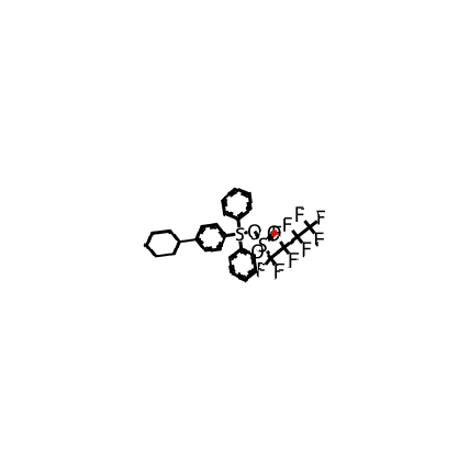 O=S(=O)(OS(c1ccccc1)(c1ccccc1)c1ccc(C2CCCCC2)cc1)C(F)(F)C(F)(F)C(F)(F)C(F)(F)F